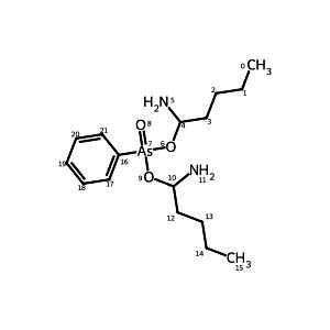 CCCCC(N)O[As](=O)(OC(N)CCCC)c1ccccc1